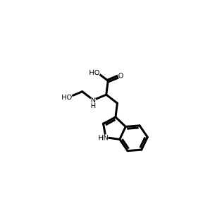 O=C(O)C(Cc1c[nH]c2ccccc12)NCO